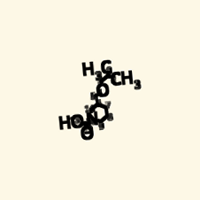 CC(C)COC[C@H]1CCCN(C(=O)O)C1